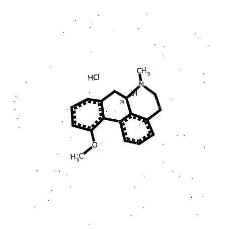 COc1cccc2c1-c1cccc3c1[C@@H](C2)N(C)CC3.Cl